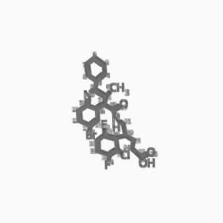 Cc1c(-c2ccccc2)nc2ccc(Br)cc2c1C(=O)NCC(CCC(=O)O)c1c(F)ccc(F)c1Cl